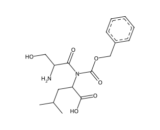 CC(C)CC(C(=O)O)N(C(=O)OCc1ccccc1)C(=O)C(N)CO